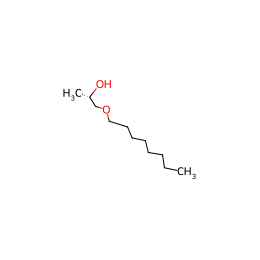 CCCCCCCCOC[C@H](C)O